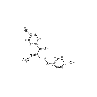 CC(=O)O/N=C(\CCSc1ccc(Cl)cc1)C(=O)c1ccc(S)cc1